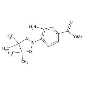 COC(=O)c1ccc(B2OC(C)(C)C(C)(C)O2)c(N)c1